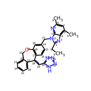 CCc1nc2c(C)cc(C)nc2n1Cc1ccc2c(c1)OCc1ccccc1/C2=C/c1nnn[nH]1